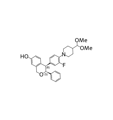 COC(OC)C1CCN(c2ccc([C@@H]3c4ccc(O)cc4CO[C@@H]3c3ccccc3)cc2F)CC1